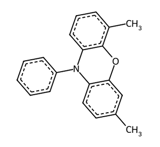 Cc1ccc2c(c1)Oc1c(C)cccc1N2c1ccccc1